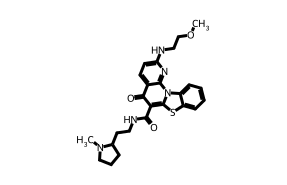 COCCNc1ccc2c(=O)c(C(=O)NCCC3CCCN3C)c3sc4ccccc4n3c2n1